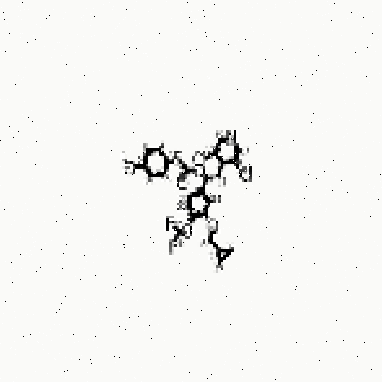 COc1ccc(SC(=O)O[C@@H](Cc2c(Cl)cncc2Cl)c2ccc(OC(F)F)c(OCC3CC3)c2)cc1